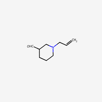 C=CCN1CCCC(C=O)C1